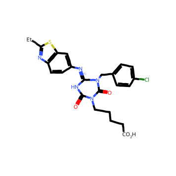 CCc1nc2ccc(/N=c3\[nH]c(=O)n(CCCCC(=O)O)c(=O)n3Cc3ccc(Cl)cc3)cc2s1